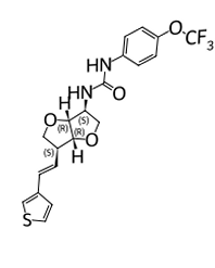 O=C(Nc1ccc(OC(F)(F)F)cc1)N[C@H]1CO[C@H]2[C@@H]1OC[C@@H]2C=Cc1ccsc1